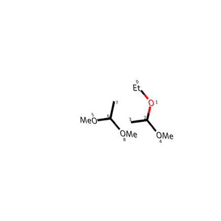 CCOC(C)OC.COC(C)OC